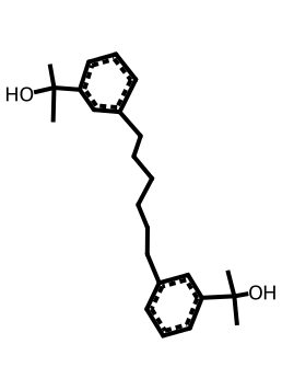 CC(C)(O)c1cccc(CCCCCCc2cccc(C(C)(C)O)c2)c1